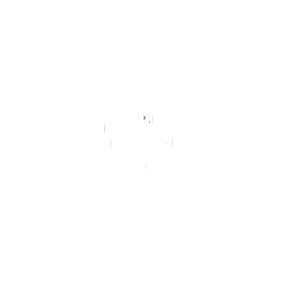 CC(C)=C(C)N.CO